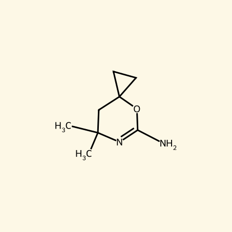 CC1(C)CC2(CC2)OC(N)=N1